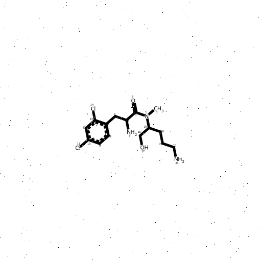 CN(C(=O)C(N)Cc1ccc(Cl)cc1Cl)C(CO)CCCN